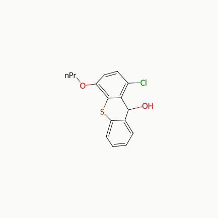 CCCOc1ccc(Cl)c2c1Sc1ccccc1C2O